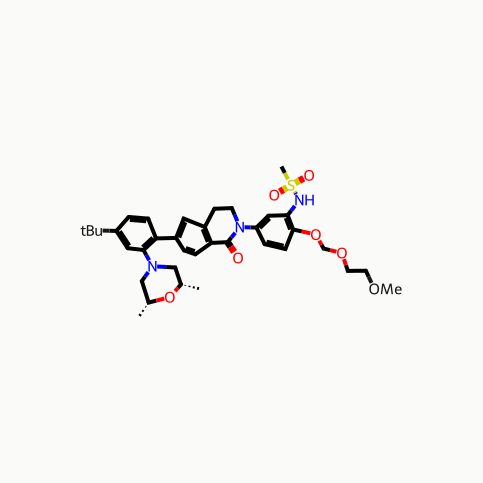 COCCOCOc1ccc(N2CCc3cc(-c4ccc(C(C)(C)C)cc4N4C[C@@H](C)O[C@@H](C)C4)ccc3C2=O)cc1NS(C)(=O)=O